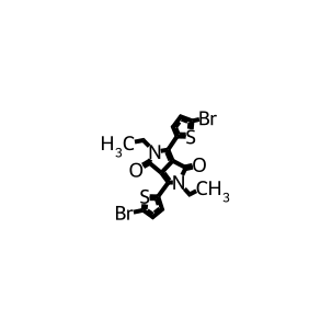 CCN1C(=O)C2=C(c3ccc(Br)s3)N(CC)C(=O)C2=C1c1ccc(Br)s1